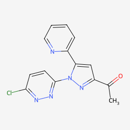 CC(=O)c1cc(-c2ccccn2)n(-c2ccc(Cl)nn2)n1